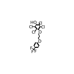 Oc1c(Cl)c(Cl)c(OCCCOc2ccc(C(F)(F)F)cc2)c(Cl)c1Cl